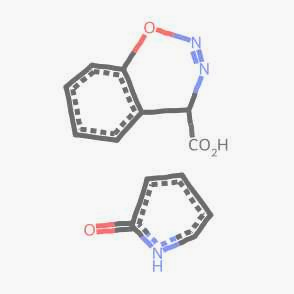 O=C(O)C1N=NOc2ccccc21.O=c1cccc[nH]1